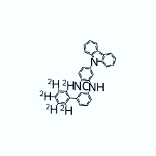 [2H]c1c([2H])c([2H])c(-c2cccc(Nc3cc(-n4c5ccccc5c5ccccc54)ccc3C#N)c2)c([2H])c1[2H]